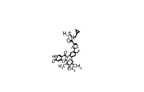 C[C@@H]1CN(c2cc(F)c(-c3nc(C(=O)N(C)CC4CC4)cs3)cc2NC(=O)c2c[nH]c(=O)cc2C(F)(F)F)C[C@H](C)N1C